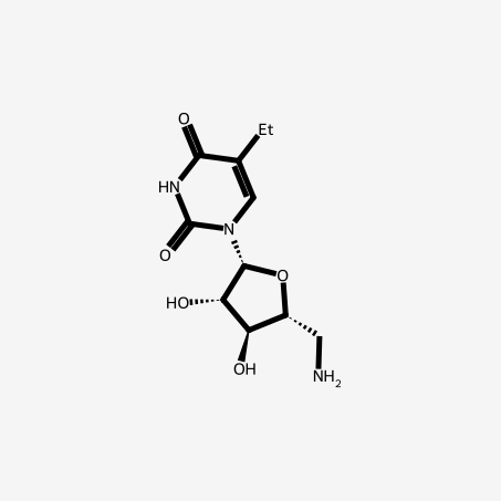 CCc1cn([C@@H]2O[C@H](CN)[C@@H](O)[C@@H]2O)c(=O)[nH]c1=O